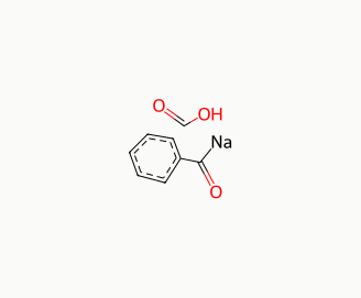 O=CO.O=[C]([Na])c1ccccc1